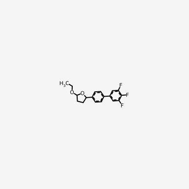 CCOC1CCC(c2ccc(-c3cc(F)c(F)c(F)c3)cc2)O1